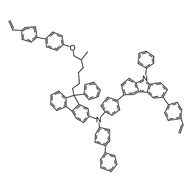 C=Cc1ccc(-c2ccc(OCC(C)CCCCC3(c4ccccc4)c4ccccc4-c4ccc(N(c5ccc(-c6ccccc6)cc5)c5ccc(-c6ccc7c(c6)c6cc(-c8ccc(C=C)cc8)ccc6n7-c6ccccc6)cc5)cc43)cc2)cc1